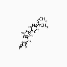 CSC(C)c1ccc(N2CCOC(CN3CC(F)C3)C2)cn1